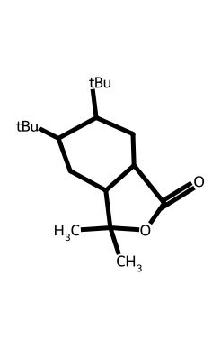 CC(C)(C)C1CC2C(=O)OC(C)(C)C2CC1C(C)(C)C